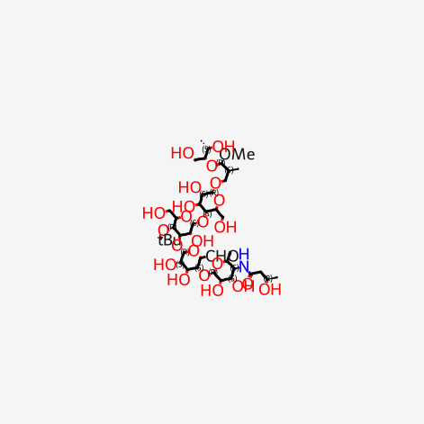 CO[C@H](OC(CO)[C@H](C)O)[C@@H](C)CO[C@@H]1OC(CO)[C@@H](O[C@@H]2OC(CO)[C@@H](OC(C)(C)C)C(O[C@@H]3OC(C=O)[C@@H](O[C@H]4OC(C)[C@@H](NC(=O)C[C@@H](C)O)[C@H](O)C4O)C(O)[C@@H]3O)C2O)C(O)[C@@H]1O